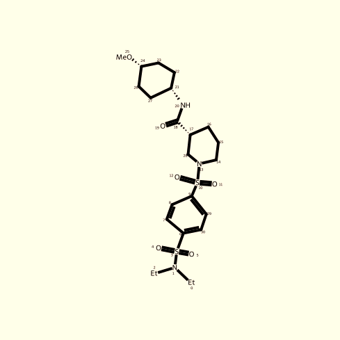 CCN(CC)S(=O)(=O)c1ccc(S(=O)(=O)N2CCC[C@@H](C(=O)N[C@H]3CC[C@@H](OC)CC3)C2)cc1